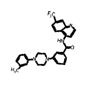 Cc1cccc(N2CCN(c3cccc(C(=O)Nc4ccnc5cc(C(F)(F)F)ccc45)c3)CC2)c1